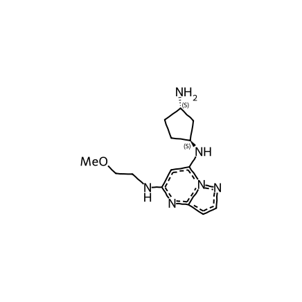 COCCNc1cc(N[C@H]2CC[C@H](N)C2)n2nccc2n1